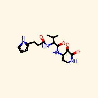 CC(C)C(NC(=O)CCc1ccc[nH]1)C(=O)NC1CCNC(=O)C1=O